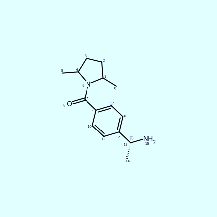 CC1CCC(C)N1C(=O)c1ccc([C@@H](C)N)cc1